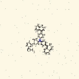 CC1C=CC=C(c2ccc(N(C3=CCC(c4cccc5ccccc45)C=C3)c3ccc(C4=c5ccccc5=CCC4)cc3)cc2)C1